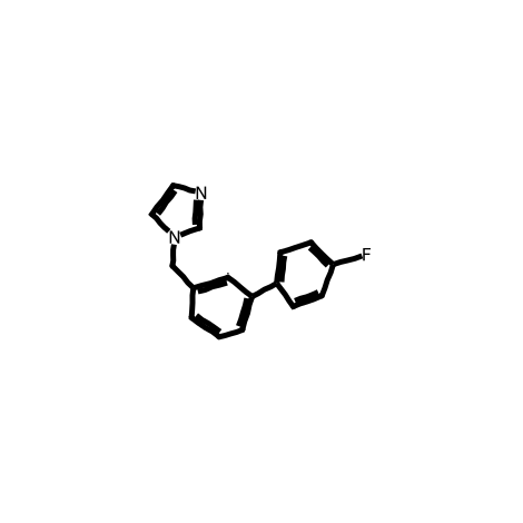 Fc1ccc(-c2[c]c(Cn3ccnc3)ccc2)cc1